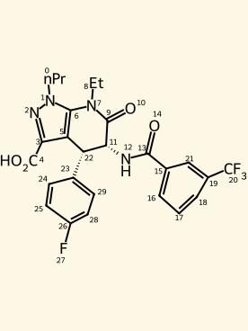 CCCn1nc(C(=O)O)c2c1N(CC)C(=O)[C@H](NC(=O)c1cccc(C(F)(F)F)c1)[C@@H]2c1ccc(F)cc1